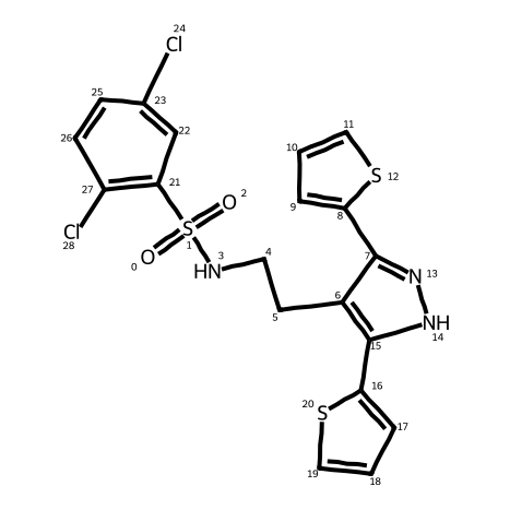 O=S(=O)(NCCc1c(-c2cccs2)n[nH]c1-c1cccs1)c1cc(Cl)ccc1Cl